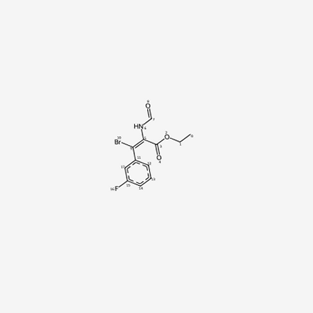 CCOC(=O)/C(NC=O)=C(/Br)c1cccc(F)c1